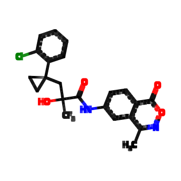 Cc1noc(=O)c2ccc(NC(=O)C(O)(CC3(c4ccccc4Cl)CC3)C(F)(F)F)cc12